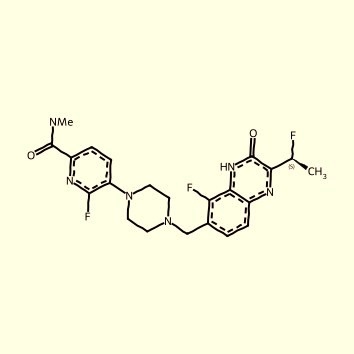 CNC(=O)c1ccc(N2CCN(Cc3ccc4nc([C@H](C)F)c(=O)[nH]c4c3F)CC2)c(F)n1